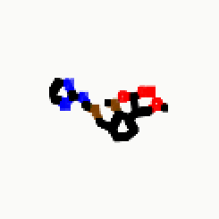 COC=C(C(=O)O)c1cccc(CSC=Nc2ncccn2)c1SC